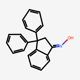 O/N=C1\CC(c2ccccc2)(c2ccccc2)c2ccccc21